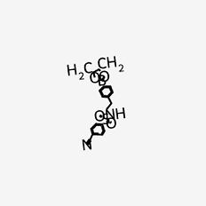 C=C1OB(c2ccc(CCNS(=O)(=O)c3ccc(C#N)cc3)cc2)OC1=C